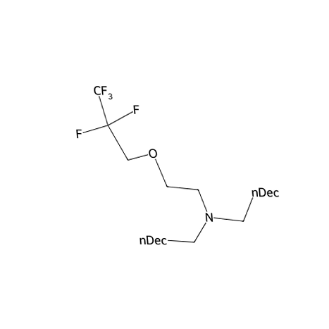 CCCCCCCCCCCN(CCCCCCCCCCC)CCOCC(F)(F)C(F)(F)F